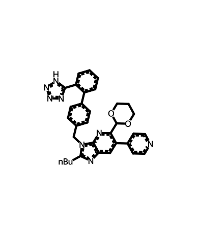 CCCCc1nc2cc(-c3ccncc3)c(C3OCCCO3)nc2n1Cc1ccc(-c2ccccc2-c2nnn[nH]2)cc1